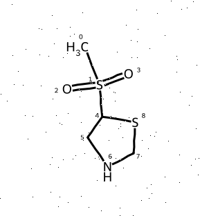 CS(=O)(=O)C1CNCS1